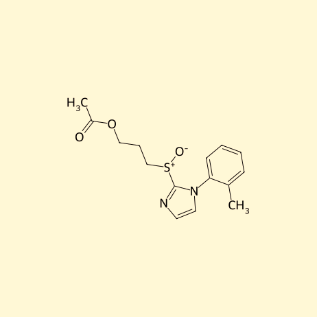 CC(=O)OCCC[S+]([O-])c1nccn1-c1ccccc1C